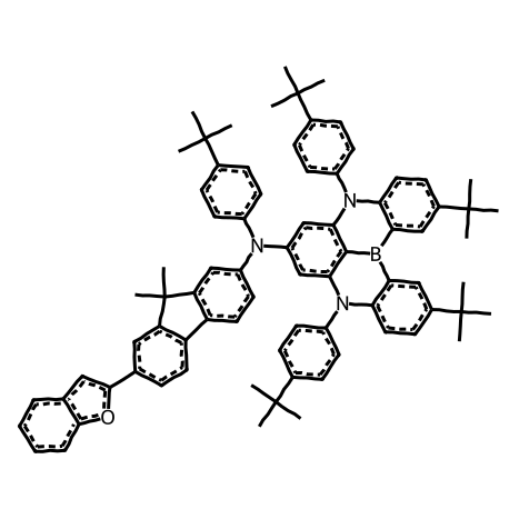 CC(C)(C)c1ccc(N(c2cc3c4c(c2)N(c2ccc(C(C)(C)C)cc2)c2ccc(C(C)(C)C)cc2B4c2cc(C(C)(C)C)ccc2N3c2ccc(C(C)(C)C)cc2)c2ccc3c(c2)C(C)(C)c2cc(-c4cc5ccccc5o4)ccc2-3)cc1